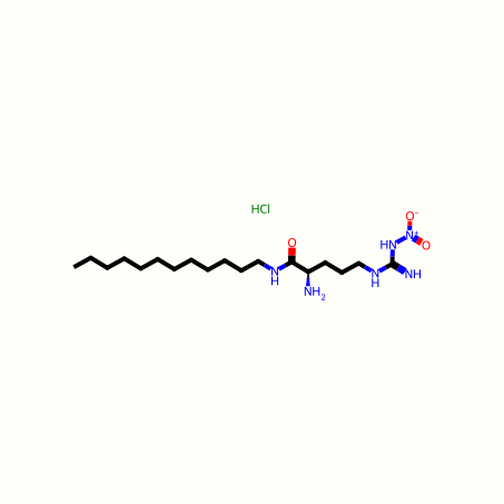 CCCCCCCCCCCCNC(=O)[C@H](N)CCCNC(=N)N[N+](=O)[O-].Cl